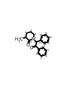 CC1CCCN(C(C(=O)c2ccccc2)c2ccccc2)C1=O